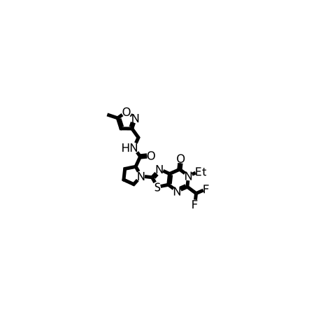 CCn1c(C(F)F)nc2sc(N3CCCC3C(=O)NCc3cc(C)on3)nc2c1=O